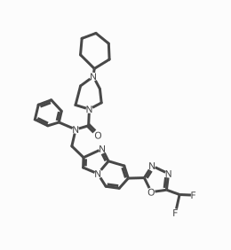 O=C(N1CCN(C2CCCCC2)CC1)N(Cc1cn2ccc(-c3nnc(C(F)F)o3)cc2n1)c1ccccc1